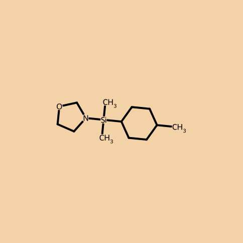 CC1CCC([Si](C)(C)N2CCOC2)CC1